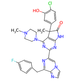 CN1CCN(c2nc(-c3cn4ccnc4c(Cc4ccc(F)cc4)n3)nc3c2C(C)(c2ccc(Cl)c(O)c2)C(=O)N3)CC1